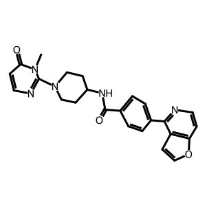 Cn1c(N2CCC(NC(=O)c3ccc(-c4nccc5occc45)cc3)CC2)nccc1=O